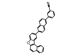 N#Cc1cccc(-c2ccc3cc(-c4ccc5oc6ccc7ccccc7c6c5c4)ccc3c2)c1